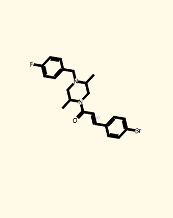 CC1CN(C(=O)/C=C/c2ccc(Br)cc2)C(C)CN1Cc1ccc(F)cc1